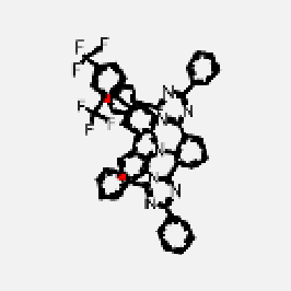 FC(F)(F)c1ccc(-c2ccc3c(c2)c2ccccc2n3-c2c(-c3nc(-c4ccccc4)nc(-c4ccccc4)n3)cccc2-c2nc(-c3ccccc3)nc(-c3ccccc3)n2)c(C(F)(F)F)c1